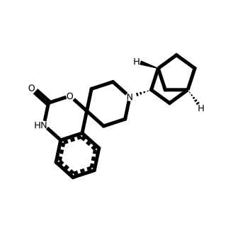 O=C1Nc2ccccc2C2(CCN([C@H]3C[C@@H]4CC[C@@H]3C4)CC2)O1